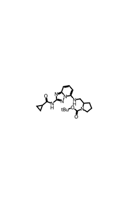 CC(C)(C)OC(=O)N1CCCC1CNc1cccc2nc(NC(=O)C3CC3)nn12